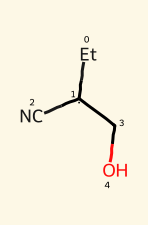 CC[C](C#N)CO